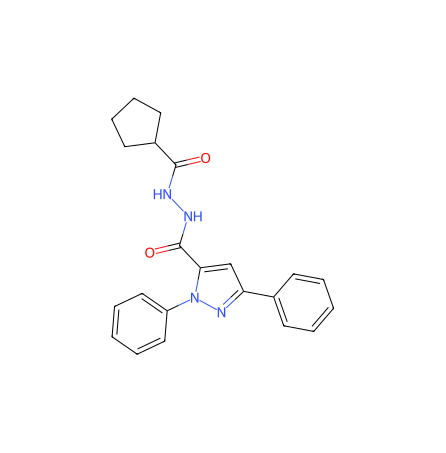 O=C(NNC(=O)C1CCCC1)c1cc(-c2ccccc2)nn1-c1ccccc1